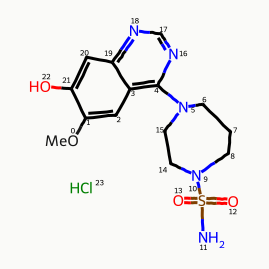 COc1cc2c(N3CCCN(S(N)(=O)=O)CC3)ncnc2cc1O.Cl